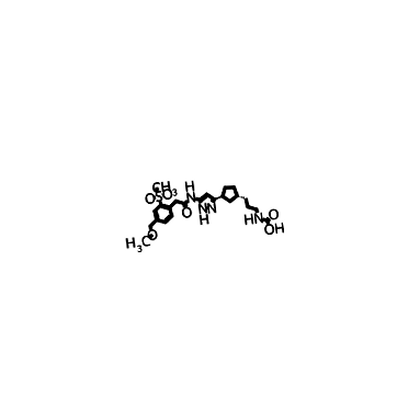 COCc1ccc(CC(=O)Nc2cc([C@H]3CC[C@H](CCCNC(=O)O)C3)n[nH]2)c(S(C)(=O)=O)c1